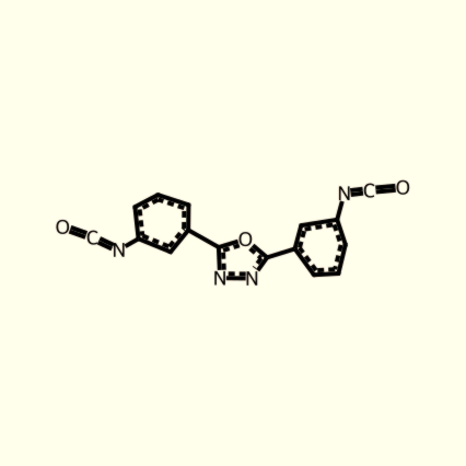 O=C=Nc1cccc(-c2nnc(-c3cccc(N=C=O)c3)o2)c1